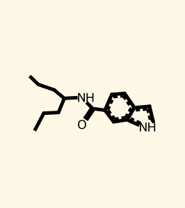 CCCC(CCC)NC(=O)c1ccc2cc[nH]c2c1